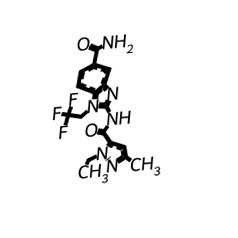 CCn1nc(C)cc1C(=O)Nc1nc2cc(C(N)=O)ccc2n1CC(F)(F)F